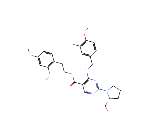 COc1ccc(CCNC(=O)c2cnc(N3CCC[C@H]3CO)nc2NCc2ccc(OC)c(Cl)c2)c(OC)c1